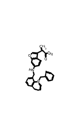 CC(C(=O)O)c1coc2cc(NCc3cccc4c3N(Cc3ccccc3)CCC4)ccc12